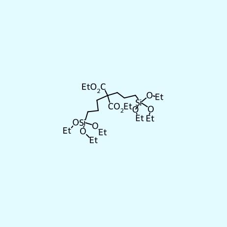 CCOC(=O)C(CCC[Si](OCC)(OCC)OCC)(CCC[Si](OCC)(OCC)OCC)C(=O)OCC